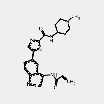 C=CC(=O)Nc1ccnc2ccc(-c3cnc(C(=O)NC4CCN(C)CC4)s3)cc12